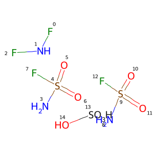 FNF.NS(=O)(=O)F.NS(=O)(=O)F.O=S(=O)(O)O